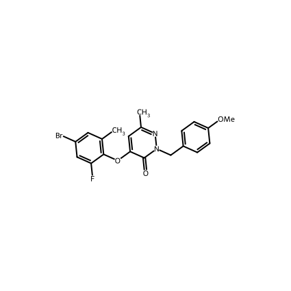 COc1ccc(Cn2nc(C)cc(Oc3c(C)cc(Br)cc3F)c2=O)cc1